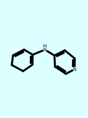 C1=CC(Nc2ccncc2)=CCC1